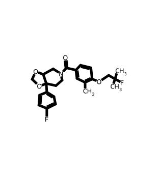 Cc1cc(C(=O)N2CCC3(c4ccc(F)cc4)OCOC3C2)ccc1OCC(C)(C)F